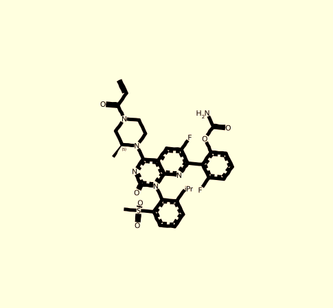 C=CC(=O)N1CCN(c2nc(=O)n(-c3c(C(C)C)cccc3S(C)(=O)=O)c3nc(-c4c(F)cccc4OC(N)=O)c(F)cc23)[C@@H](C)C1